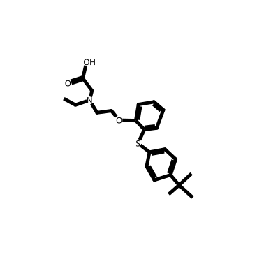 CCN(CCOc1ccccc1Sc1ccc(C(C)(C)C)cc1)CC(=O)O